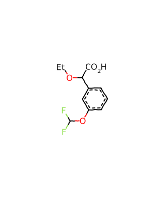 CCOC(C(=O)O)c1cccc(OC(F)F)c1